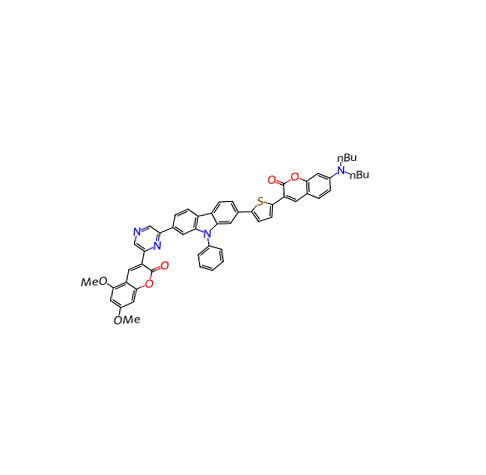 CCCCN(CCCC)c1ccc2cc(-c3ccc(-c4ccc5c6ccc(-c7cncc(-c8cc9c(OC)cc(OC)cc9oc8=O)n7)cc6n(-c6ccccc6)c5c4)s3)c(=O)oc2c1